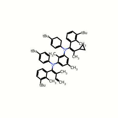 C=C/C(C)=C(\c1cccc(C(C)(C)C)c1C)N(c1ccc(C(C)(C)C)cc1)c1cc(C)cc(N(C2=CC=C(C(C)(C)C)CC2)/C(=C(\C)C2CC2)c2cccc(C(C)(C)C)c2C)c1C